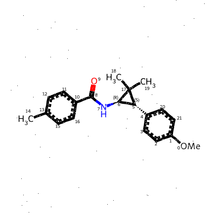 COc1ccc([C@@H]2[C@@H](NC(=O)c3ccc(C)cc3)C2(C)C)cc1